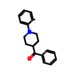 O=C(c1ccccc1)C1CCN(c2[c]cccc2)CC1